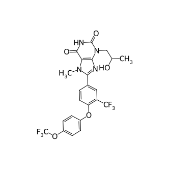 CC(O)Cn1c(=O)[nH]c(=O)c2c1nc(-c1ccc(Oc3ccc(OC(F)(F)F)cc3)c(C(F)(F)F)c1)n2C